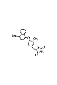 N#Cc1ccc(Oc2ccc(/C=C3\SC(=O)NC3=O)cc2O)c2ccccc12